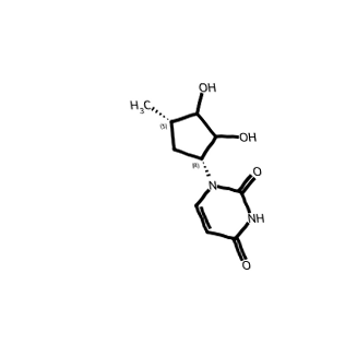 C[C@H]1C[C@@H](n2ccc(=O)[nH]c2=O)C(O)C1O